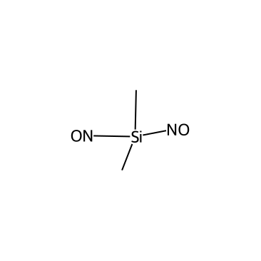 C[Si](C)(N=O)N=O